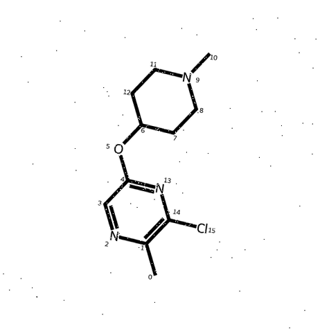 Cc1ncc(OC2CCN(C)CC2)nc1Cl